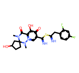 CN1C(=O)c2c(O)c(=O)c(C(=N)SC(=N)Cc3ccc(F)cc3F)cn2N(C)C12CCC(O)C2